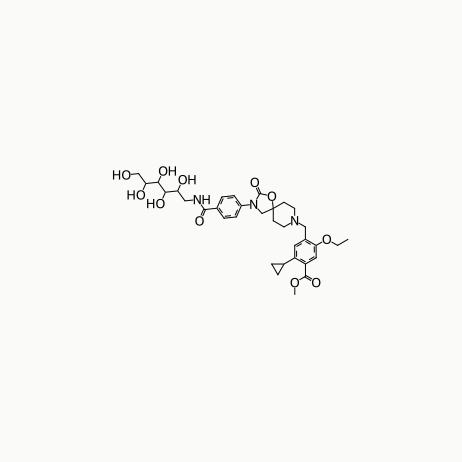 CCOc1cc(C(=O)OC)c(C2CC2)cc1CN1CCC2(CC1)CN(c1ccc(C(=O)NCC(O)C(O)C(O)C(O)CO)cc1)C(=O)O2